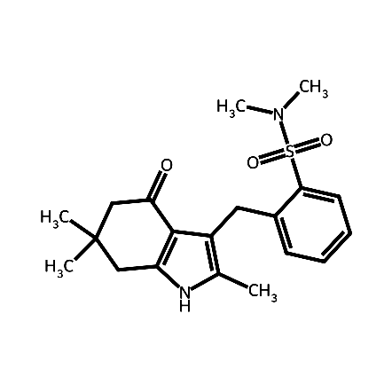 Cc1[nH]c2c(c1Cc1ccccc1S(=O)(=O)N(C)C)C(=O)CC(C)(C)C2